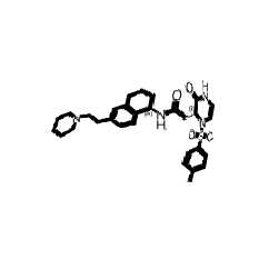 Cc1ccc(S(=O)(=O)N2C=CNC(=O)[C@H]2CC(=O)N[C@@H]2CCCc3cc(CCN4CCCCC4)ccc32)cc1